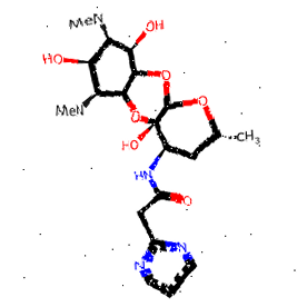 CN[C@@H]1[C@H](O)[C@H](NC)C2O[C@]3(O)C(OC2[C@@H]1O)O[C@H](C)C[C@H]3NC(=O)Cc1ncccn1